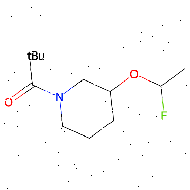 CC(F)OC1CCCN(C(=O)C(C)(C)C)C1